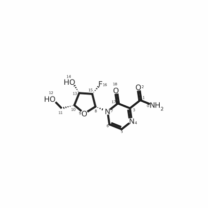 NC(=O)c1nccn([C@@H]2O[C@H](CO)[C@H](O)[C@@H]2F)c1=O